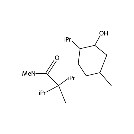 CC1CCC(C(C)C)C(O)C1.CNC(=O)C(C)(C(C)C)C(C)C